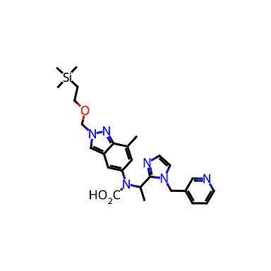 Cc1cc(N(C(=O)O)C(C)c2nccn2Cc2cccnc2)cc2cn(COCC[Si](C)(C)C)nc12